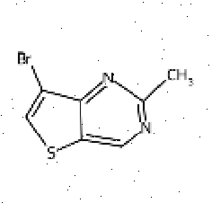 Cc1ncc2scc(Br)c2n1